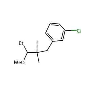 [CH2]CC(OC)C(C)(C)Cc1cccc(Cl)c1